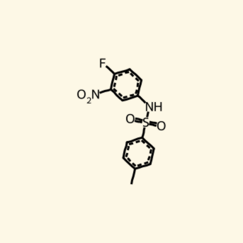 Cc1ccc(S(=O)(=O)Nc2ccc(F)c([N+](=O)[O-])c2)cc1